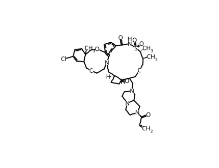 C=CC(=O)N1CCN2CCN(CC3(O)CCC[C@H](C)[C@@H](C)S(=O)(=O)NC(=O)c4ccc5c(c4)N(CCCCC4C=C(Cl)C=CC4(C)CO5)C[C@@H]4CC[C@H]43)CC2C1